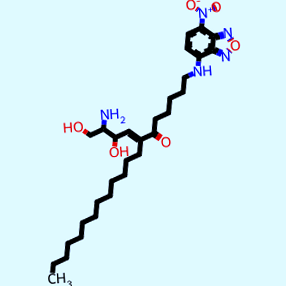 CCCCCCCCCCCCCC(=CC(O)C(N)CO)C(=O)CCCCCNc1ccc([N+](=O)[O-])c2nonc12